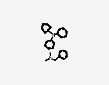 CN(C)Cc1ccccc1.c1ccc(N(c2ccccc2)c2ccccc2)cc1